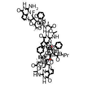 CC(C)OC(=O)[C@H](C)NP(=O)(Oc1ccccc1)O[C@H](C)[C@H]1O[C@@H](n2ccc3c(=O)[nH]c(NC(C)OC(=O)[C@H](C)N[P@@](=O)(Oc4ccccc4)O[C@H](C)[C@H]4O[C@@H](n5ccc6c(=O)[nH]c(NC(C)OC(=O)[C@H](C)N[P@](=O)(Oc7ccccc7)O[C@H](C)[C@H]7O[C@@H](n8ccc9c(=O)[nH]c(N)nc98)[C@@](Cl)(CF)C7O)nc65)[C@@](Cl)(CF)C4O)nc32)[C@@](Cl)(CF)C1O